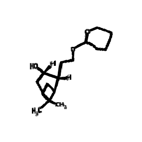 CC1(C)C2CC1[C@@H](CCOC1CCCCO1)[C@@H](O)C2